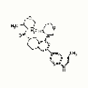 Cc1c[nH]c2ncc(-c3cc4c(c([C@@H]5COCCN5)c3)CN(C(=O)N3C(C)COCC3C)CC4)cc12